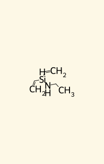 C=C[SiH](C=C)NCC